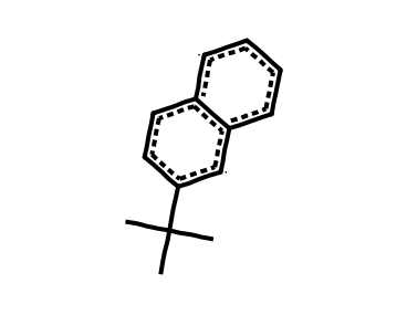 CC(C)(C)c1[c]c2ccc[c]c2cc1